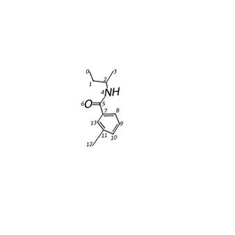 CCC(C)NC(=O)c1cccc(C)c1